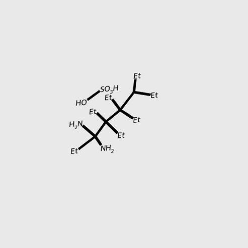 CCC(CC)C(CC)(CC)C(CC)(CC)C(N)(N)CC.O=S(=O)(O)O